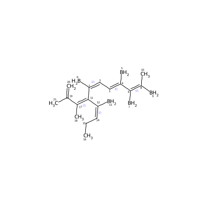 BC(=C/C=C(B)/C(B)=C(/B)C)/C(C(/B)=C\CC)=C(/C)C(=C)C